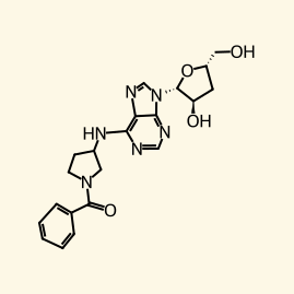 O=C(c1ccccc1)N1CCC(Nc2ncnc3c2ncn3[C@@H]2O[C@H](CO)C[C@H]2O)C1